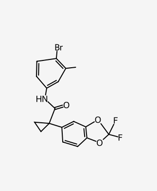 Cc1cc(NC(=O)C2(c3ccc4c(c3)OC(F)(F)O4)CC2)ccc1Br